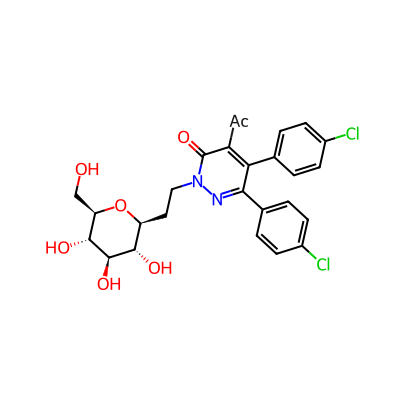 CC(=O)c1c(-c2ccc(Cl)cc2)c(-c2ccc(Cl)cc2)nn(CC[C@@H]2O[C@H](CO)[C@@H](O)[C@H](O)[C@H]2O)c1=O